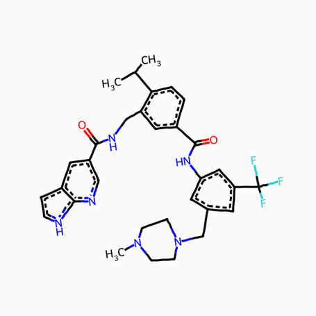 CC(C)c1ccc(C(=O)Nc2cc(CN3CCN(C)CC3)cc(C(F)(F)F)c2)cc1CNC(=O)c1cnc2[nH]ccc2c1